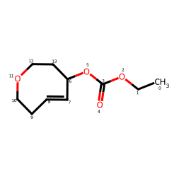 CCOC(=O)OC1/C=C/CCOCC1